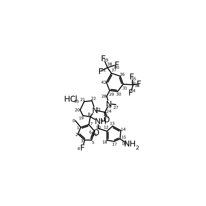 Cc1cc(F)ccc1C1(NC(=O)c2ccc(N)cc2)CCCCN1C(=O)N(C)Cc1cc(C(F)(F)F)cc(C(F)(F)F)c1.Cl